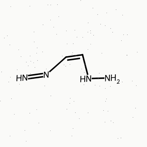 N=N/C=C\NN